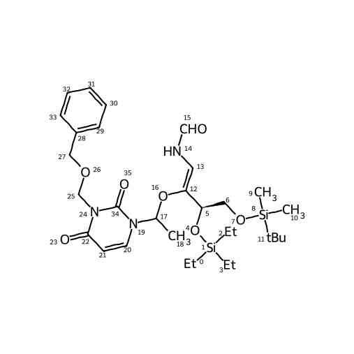 CC[Si](CC)(CC)O[C@H](CO[Si](C)(C)C(C)(C)C)/C(=C/NC=O)OC(C)n1ccc(=O)n(COCc2ccccc2)c1=O